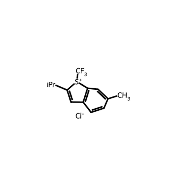 Cc1ccc2cc(C(C)C)[s+](C(F)(F)F)c2c1.[Cl-]